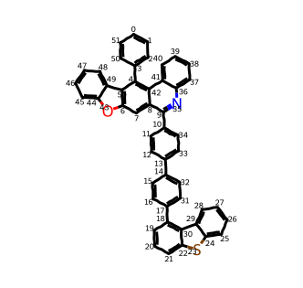 c1ccc(-c2c3c(cc4c(-c5ccc(-c6ccc(-c7cccc8sc9ccccc9c78)cc6)cc5)nc5ccccc5c24)oc2ccccc23)cc1